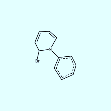 BrC1C=CC=CN1c1ccccc1